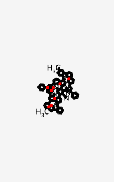 Cc1ccc2c(c1)c1ccccc1n2-c1ccc(-c2c(C#N)c(-c3nc(-c4ccccc4)cc(-c4ccccc4)n3)c(-c3ccc(-n4c5ccccc5c5cc(C)ccc54)cc3)c(-n3c4ccccc4c4cc(-c5ccccc5)ccc43)c2-n2c3ccccc3c3cc(-c4ccccc4)ccc32)cc1